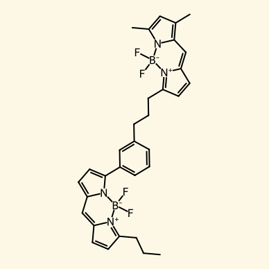 CCCC1=[N+]2C(=Cc3ccc(-c4cccc(CCCC5=[N+]6C(=Cc7c(C)cc(C)n7[B-]6(F)F)C=C5)c4)n3[B-]2(F)F)C=C1